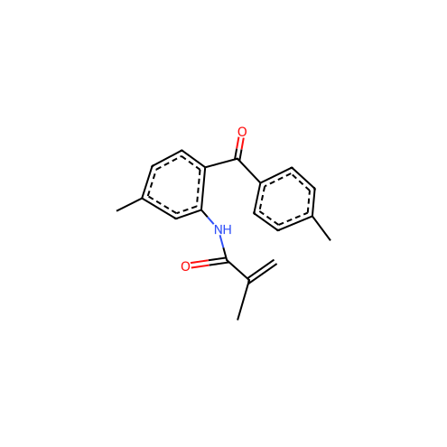 C=C(C)C(=O)Nc1cc(C)ccc1C(=O)c1ccc(C)cc1